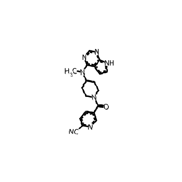 CN(c1ncnc2[nH]ccc12)C1CCN(C(=O)c2ccc(C#N)nc2)CC1